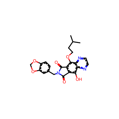 CC(C)CCOc1c2c(c(O)c3nccnc13)C(=O)N(Cc1ccc3c(c1)OCO3)C2=O